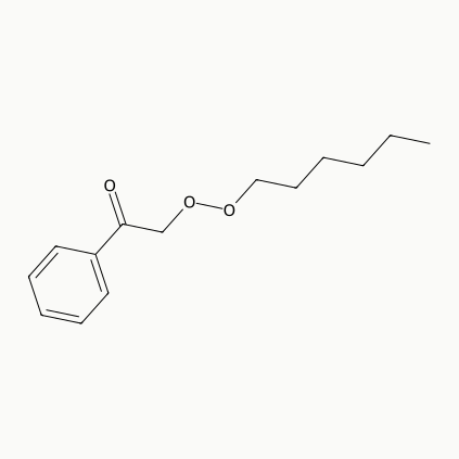 CCCCCCOOCC(=O)c1ccccc1